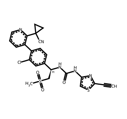 C#Cc1nc(NC(=O)N[C@@H](CS(C)(=O)=O)c2ccc(-c3cccnc3C3(C#N)CC3)c(Cl)c2)cs1